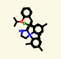 Cc1cc(C)c([N+]2(c3c(C)cc(C)cc3C)CCN[C]2=[Ru]([Cl])([Cl])=[CH]c2ccccc2OC(C)C)c(C)c1